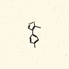 Cc1ccc(-c2cnoc2C)cc1